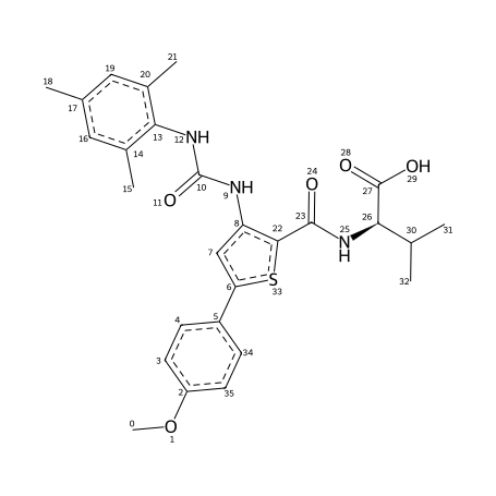 COc1ccc(-c2cc(NC(=O)Nc3c(C)cc(C)cc3C)c(C(=O)N[C@@H](C(=O)O)C(C)C)s2)cc1